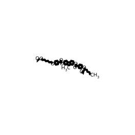 CCCCCC(Oc1ccc(C(=O)Oc2ccc3c(c2)C(C)c2cc(OC(=O)c4ccc(OCCCCCCOC5CO5)cc4)ccc2-3)cc1)C1CO1